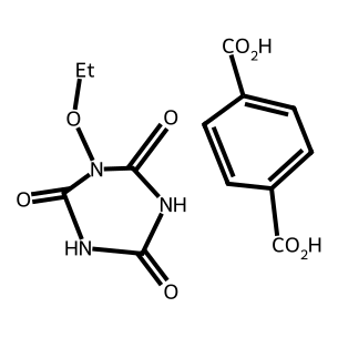 CCOn1c(=O)[nH]c(=O)[nH]c1=O.O=C(O)c1ccc(C(=O)O)cc1